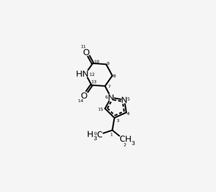 CC(C)c1cnn(C2CCC(=O)NC2=O)c1